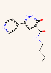 CCCCNC(=O)c1cc(-c2ccncc2)n[nH]c1=O